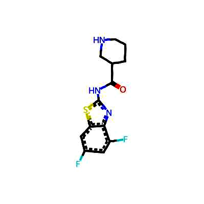 O=C(Nc1nc2c(F)cc(F)cc2s1)C1CCCNC1